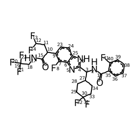 O=C(NC(c1nc2c(F)c(C(CC(F)F)C(=O)NCC(F)(F)F)ccc2[nH]1)C1CCC(F)(F)CC1)c1ccccc1F